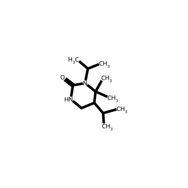 CC(C)C1CNC(=O)N(C(C)C)C1(C)C